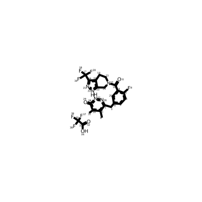 Cc1c(Cc2ccc(F)c(C(=O)N3CCc4c(C(F)(F)F)n[nH]c4C3)c2)n[nH]c(=O)c1C.O=C(O)C(F)(F)F